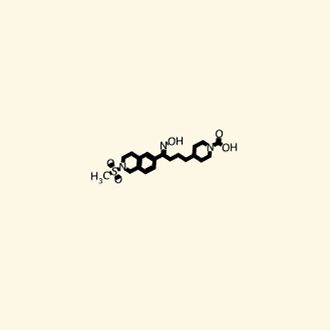 CS(=O)(=O)N1CCc2cc(C(CCCC3CCN(C(=O)O)CC3)=NO)ccc2C1